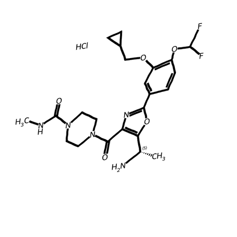 CNC(=O)N1CCN(C(=O)c2nc(-c3ccc(OC(F)F)c(OCC4CC4)c3)oc2[C@H](C)N)CC1.Cl